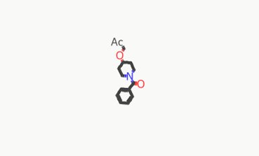 CC(=O)COC1CCN(C(=O)c2ccccc2)CC1